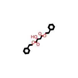 O=C(CC(O)C(=O)OC=Cc1ccccc1)OC=Cc1ccccc1